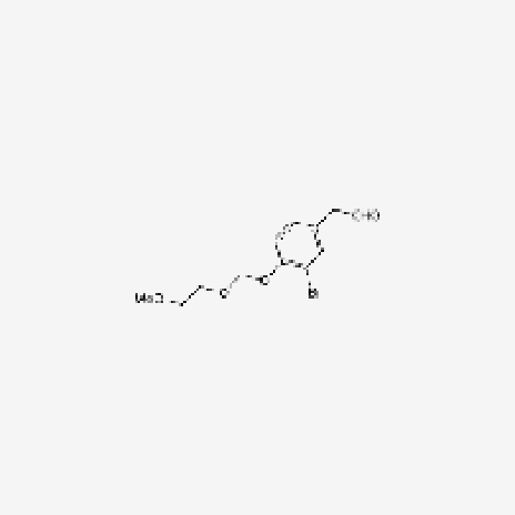 COCCOCOc1ccc(CC=O)cc1Br